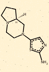 Nc1ncc(N2CCN3CCC[C@H]3C2)s1